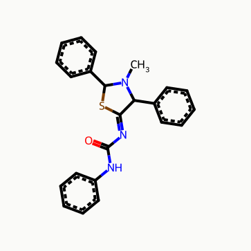 CN1C(c2ccccc2)SC(=NC(=O)Nc2ccccc2)C1c1ccccc1